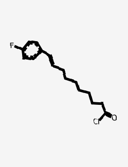 O=C(Cl)CCCCCCCC=Cc1ccc(F)cc1